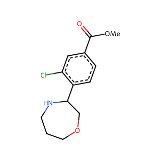 COC(=O)c1ccc(C2COCCCN2)c(Cl)c1